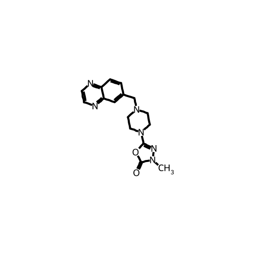 Cn1nc(N2CCN(Cc3ccc4nccnc4c3)CC2)oc1=O